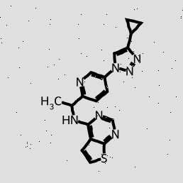 CC(Nc1ncnc2sccc12)c1ccc(-n2cc(C3CC3)nn2)cn1